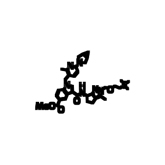 COC(=O)c1ccc2c(c1)c(C(=O)N[C@@H]1CCc3c1nn(COCCS(C)(C)C)c3C)cn2Cc1ccc(N2CC3CC3C2)nc1C